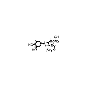 CC(C)C1(CCc2ccc(O)c(O)c2)[C@H](C)CCC[C@H]1NC(=O)O